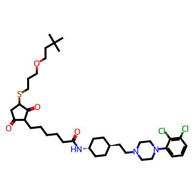 CC(C)(C)CCOCCCSC1CC(=O)C(CCCCCC(=O)N[C@H]2CC[C@H](CCN3CCN(c4cccc(Cl)c4Cl)CC3)CC2)C1=O